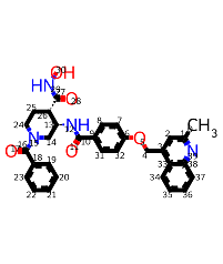 Cc1cc(COc2ccc(C(=O)N[C@@H]3CN(C(=O)c4ccccc4)CC[C@@H]3C(=O)NO)cc2)c2ccccc2n1